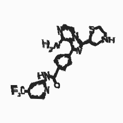 Nc1nccn2c(C3CNCCS3)nc(-c3ccc(C(=O)Nc4cc(C(F)(F)F)ccn4)cc3)c12